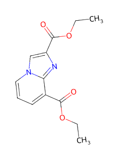 CCOC(=O)c1cn2cccc(C(=O)OCC)c2n1